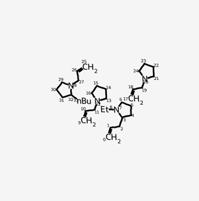 C=CCC1CCCN1CC.C=CCN1CCCC1.C=CCN1CCCC1.C=CCN1CCCC1CCCC